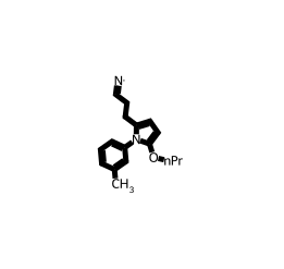 CCCOc1ccc(CCC=[N])n1-c1cccc(C)c1